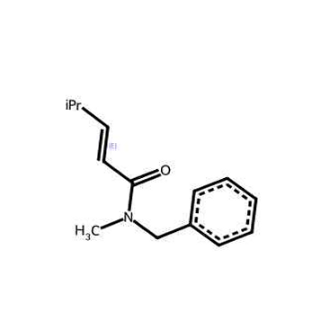 CC(C)/C=C/C(=O)N(C)Cc1ccccc1